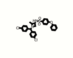 CC1C(NS(=O)(=O)c2ccc(Oc3ccccc3)cc2)CN1C(c1ccc(Cl)cc1)c1ccc(Cl)cc1